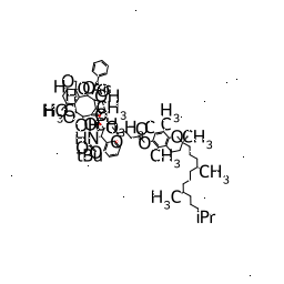 CC(=O)O[C@@]12CO[C@@H]1C[C@H](O)[C@@]1(C)C(=O)[C@H](O)C3=C(C)CC[C@@](O)([C@@H](OC(=O)c4ccccc4)[C@H]21)C3(C)OC(=O)[C@H](OC(=O)CCC(=O)Oc1c(C)c(C)c2c(c1C)CC[C@@](C)(CCC[C@H](C)CCC[C@H](C)CCCC(C)C)O2)[C@@H](NC(=O)OC(C)(C)C)c1ccccc1